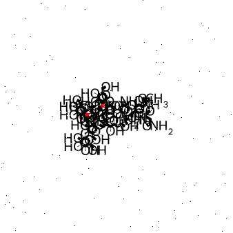 CC(=O)NC1C(O)[C@H](O[C@@H]2OC(CO)[C@H](O)[C@H](O)C2O)[C@H](CO)O[C@H]1OCC([C@H](O)OCC1O[C@@H](O[C@@H]2C(CO)O[C@@H](O[C@@H]3C(CO)O[C@@H](C(=O)[C@@H](N)CC(N)=O)C(NC(C)=O)[C@H]3O)C(N)[C@H]2O)[C@H](O)C(O[C@H]2O[C@H](CO)[C@@H](O)C(O)C2OCOC(CO)[C@@H](O[C@@H]2OC(CO)[C@H](O)[C@H](O)C2O)[C@@H](C)O)[C@@H]1O)[C@@H](O)[C@H](O)CCO